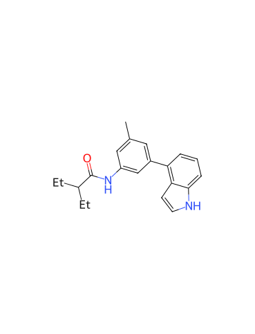 CCC(CC)C(=O)Nc1cc(C)cc(-c2cccc3[nH]ccc23)c1